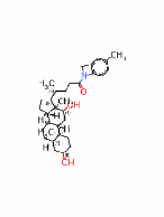 Cc1ccc2c(c1)CN2C(=O)CC[C@@H](C)[C@H]1CC[C@H]2[C@@H]3CC[C@@H]4C[C@H](O)CC[C@]4(C)[C@H]3C[C@H](O)[C@]12C